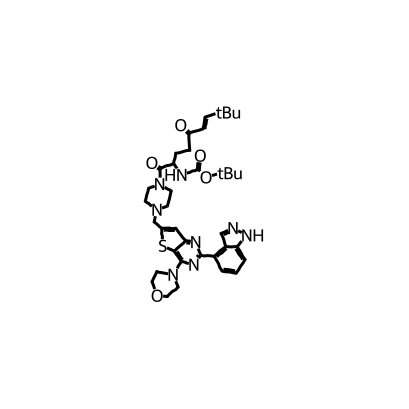 CC(C)(C)/C=C/C(=O)CCC(NC(=O)OC(C)(C)C)C(=O)N1CCN(Cc2cc3nc(-c4cccc5[nH]ncc45)nc(N4CCOCC4)c3s2)CC1